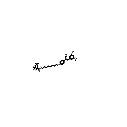 COc1cc(/C=C(\C#N)c2ccc(OCCCCCCCCOC(=O)C(C)(CC(C)(C)C)C(C)(C)C)cc2)cc(OC)c1